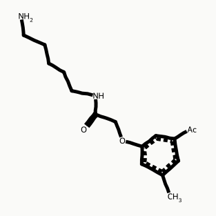 CC(=O)c1cc(C)cc(OCC(=O)NCCCCCN)c1